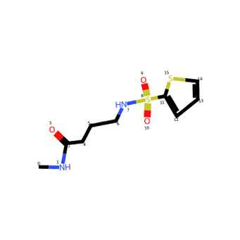 CNC(=O)CCCNS(=O)(=O)c1cccs1